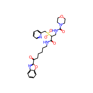 O=C(CCCCCNC(=O)C(CNC(=O)N1CCOCC1)S(=O)(=O)Cc1ccccn1)c1nc2ccccc2o1